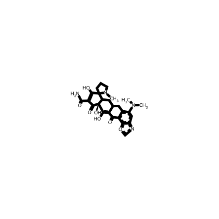 CN(C)c1cc2ncoc2c2c1CC1CC3C4(CCCN4C)C(O)=C(C(N)=O)C(=O)[C@@]3(O)C(O)=C1C2=O